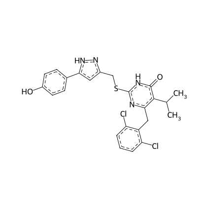 CC(C)c1c(Cc2c(Cl)cccc2Cl)nc(SCc2cc(-c3ccc(O)cc3)[nH]n2)[nH]c1=O